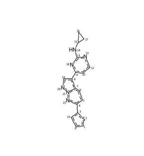 c1csc(-c2ccc3c(-c4ccnc(NC5CC5)n4)cnn3n2)c1